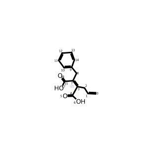 C=CC/C(C(=O)O)=C(\Cc1ccccc1)C(=O)O